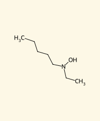 CCCCCN(O)CC